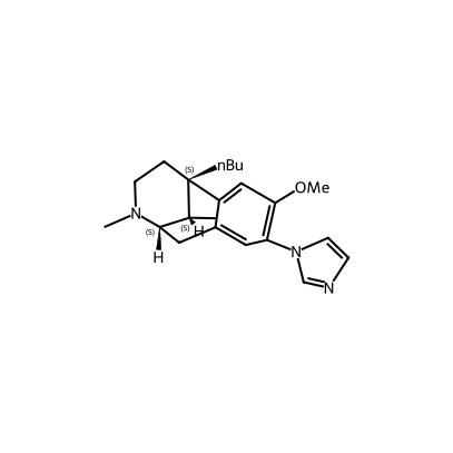 CCCC[C@@]12CCN(C)[C@@H](Cc3cc(-n4ccnc4)c(OC)cc31)[C@H]2C